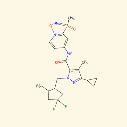 CS(=N)(=O)c1cc(NC(=O)c2c(C(F)(F)F)c(C3CC3)nn2CC2CC(F)(F)CC2C(F)(F)F)cc[n+]1[O-]